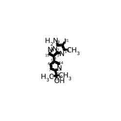 Cc1nc2c(-c3ccc(C(C)(C)O)nc3)cnn2c(N)c1I